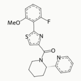 COc1cccc(F)c1-c1nc(C(=O)N2CCCC[C@H]2c2ccccn2)cs1